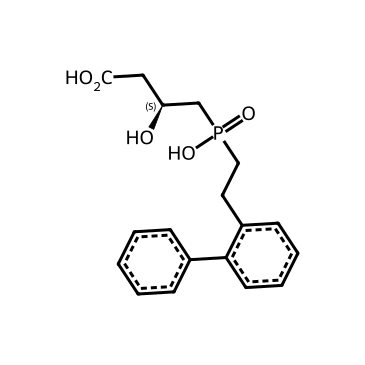 O=C(O)C[C@H](O)CP(=O)(O)CCc1ccccc1-c1ccccc1